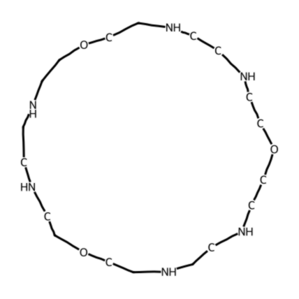 C1CNCCOCCNCCNCCOCCNCCNCCOCCN1